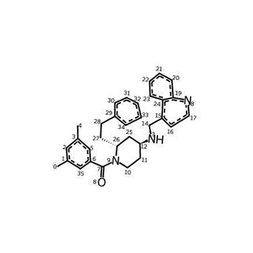 Cc1cc(C)cc(C(=O)N2CC[C@H](NCc3ccnc4ccccc34)C[C@H]2CCc2ccccc2)c1